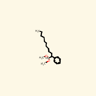 CCCCCCCCCCC(c1ccccc1)[SiH](OC)OC